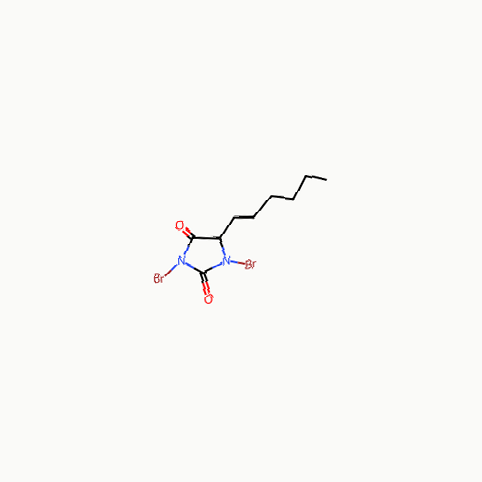 CCCCCCC1C(=O)N(Br)C(=O)N1Br